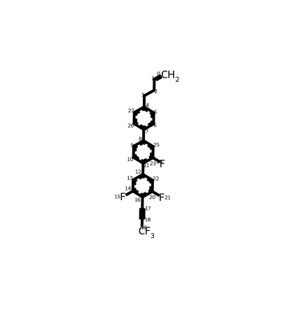 C=CCCc1ccc(-c2ccc(-c3cc(F)c(C#CC(F)(F)F)c(F)c3)c(F)c2)cc1